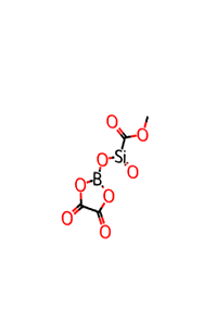 COC(=O)[Si](=O)OB1OC(=O)C(=O)O1